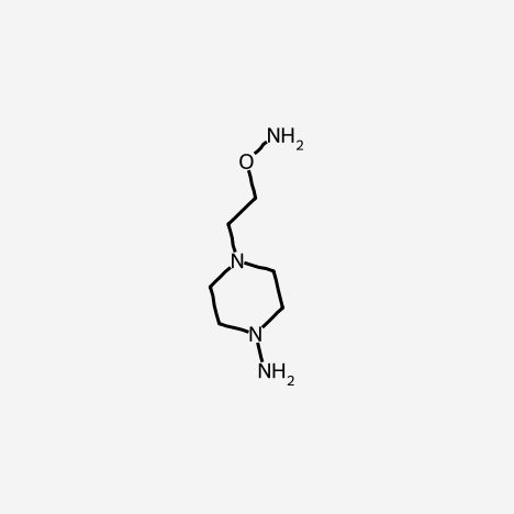 NOCCN1CCN(N)CC1